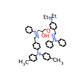 CCN(CC)c1ccc(/C=N/N(c2ccccc2)c2ccccc2)c(OCC(O)CN(/N=C/c2ccc(N(c3ccc(C)cc3)c3ccc(C)cc3)cc2)c2ccccc2)c1